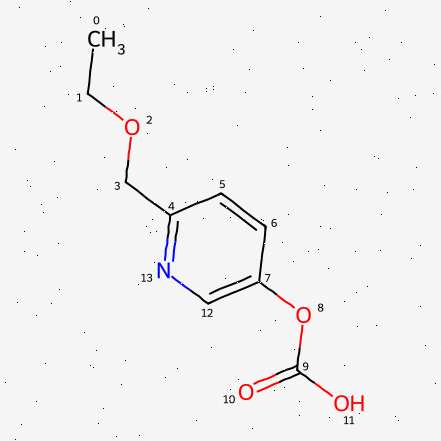 CCOCc1ccc(OC(=O)O)cn1